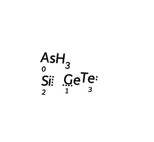 [AsH3].[Ge].[Si].[Te]